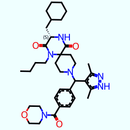 CCCCN1C(=O)[C@H](CC2CCCCC2)NC(=O)C12CCN(C(c1ccc(C(=O)N3CCOCC3)cc1)c1c(C)n[nH]c1C)CC2